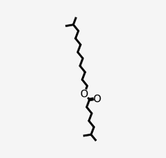 CC(C)CCCCCCCCCOC(=O)CCCCC(C)C